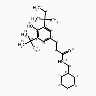 CCC(C)(C)c1cc(CCC(=O)NCC2CCCCC2)cc(C(C)(C)C)c1O